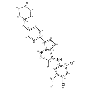 COc1cc(Nc2c(C)cnc3c(-c4ccc(CN5CCOCC5)cc4)csc23)c(Cl)cc1Cl